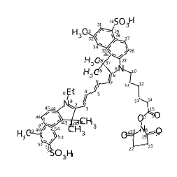 CC[N+]1=C(/C=C/C=C/C=C2/N(CCCCCC(=O)ON3C(=O)CCC3=O)c3ccc4c(S(=O)(=O)O)cc(C)cc4c3C2(C)C)C(C)(C)c2c1ccc1c(C)cc(S(=O)(=O)O)cc21